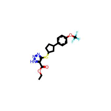 CCOC(=O)c1[nH]nnc1SC1CCC(c2ccc(OC(F)(F)F)cc2)C1